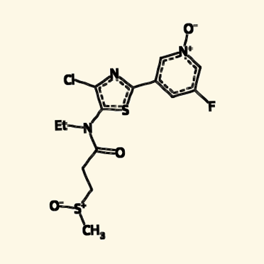 CCN(C(=O)CC[S+](C)[O-])c1sc(-c2cc(F)c[n+]([O-])c2)nc1Cl